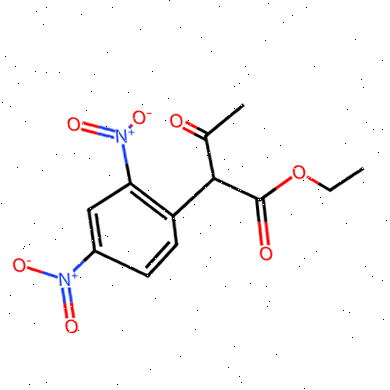 CCOC(=O)C(C(C)=O)c1ccc([N+](=O)[O-])cc1[N+](=O)[O-]